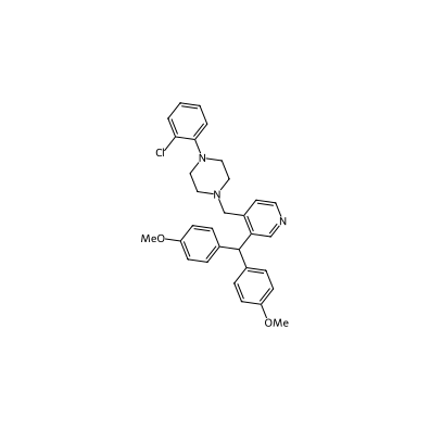 COc1ccc(C(c2ccc(OC)cc2)c2cnccc2CN2CCN(c3ccccc3Cl)CC2)cc1